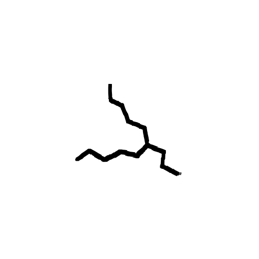 [CH2]CCC(CCCCC)CCCCC